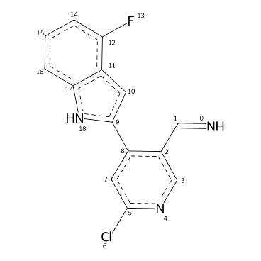 N=Cc1cnc(Cl)cc1-c1cc2c(F)cccc2[nH]1